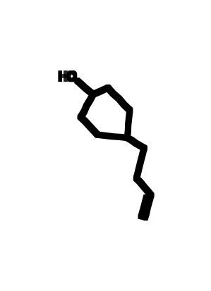 C=CCCC1CCC(O)CC1